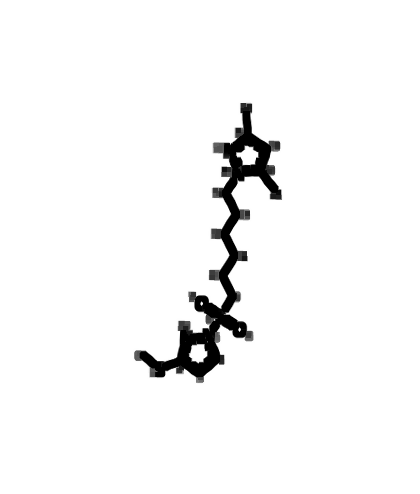 CSc1ccn(S(=O)(=O)CCCCCCn2nc(C)cc2C)n1